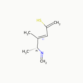 C=N[C@H](C)/C(C)=C/C(=C)S